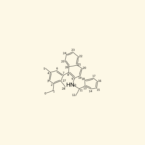 CCc1cc(C)cc(-c2c(NC(C)c3ccccc3)ccc3ccccc23)c1C